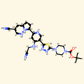 CC(C)(C)OC(=O)N1CCN(c2nnc(-c3cnc(-c4ccc5cc(C#N)cnn45)cc3NCC#N)s2)CC1